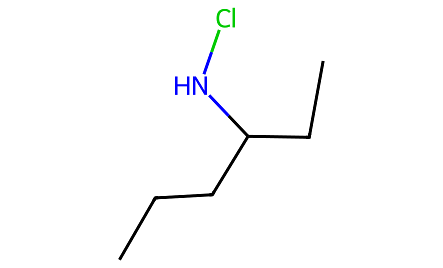 CCCC(CC)NCl